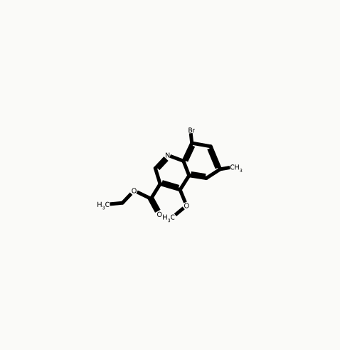 CCOC(=O)c1cnc2c(Br)cc(C)cc2c1OC